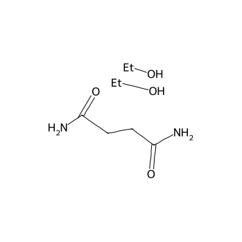 CCO.CCO.NC(=O)CCC(N)=O